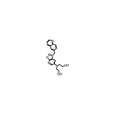 OCCN(CCO)c1cnc2nnn(Cc3ccc4ncccc4c3)c2n1